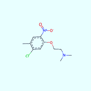 Cc1cc([N+](=O)[O-])c(OCCN(C)C)cc1Cl